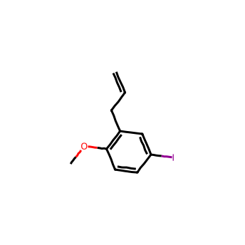 C=CCc1cc(I)ccc1OC